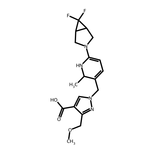 COCc1nn(CC2=CC=C(N3CC4C(C3)C4(F)F)NC2C)cc1C(=O)O